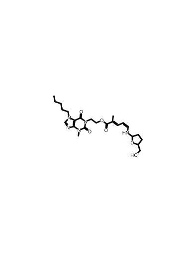 CCCCCn1cnc2c1c(=O)n(CCOC(=O)/C(C)=C/C=C\NC1CCC(CO)O1)c(=O)n2C